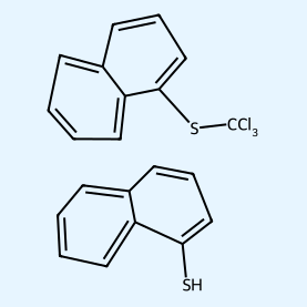 ClC(Cl)(Cl)Sc1cccc2ccccc12.Sc1cccc2ccccc12